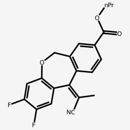 CCCOC(=O)c1ccc2c(c1)COc1cc(F)c(F)cc1C2=C(C)C#N